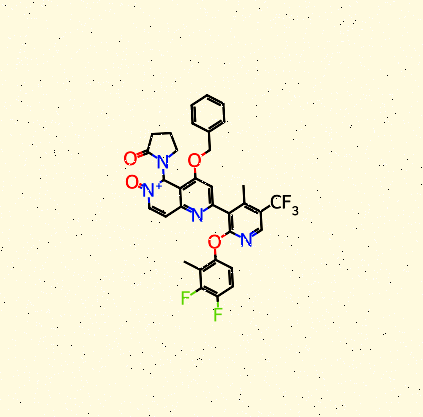 Cc1c(Oc2ncc(C(F)(F)F)c(C)c2-c2cc(OCc3ccccc3)c3c(n2)C=C[N+](=O)C3N2CCCC2=O)ccc(F)c1F